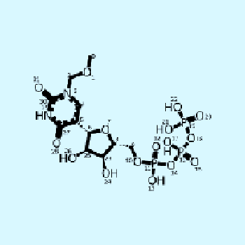 COCn1cc([C@@H]2O[C@H](COP(=O)(O)OP(=O)(O)OP(=O)(O)O)[C@@H](O)[C@H]2O)c(=O)[nH]c1=O